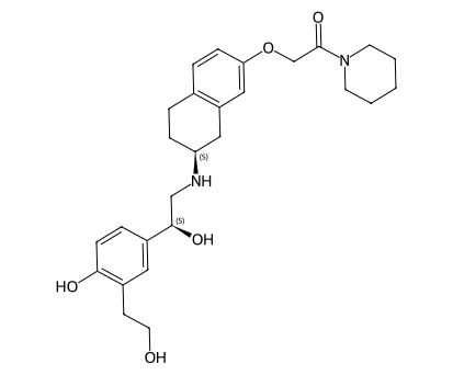 O=C(COc1ccc2c(c1)C[C@@H](NC[C@@H](O)c1ccc(O)c(CCO)c1)CC2)N1CCCCC1